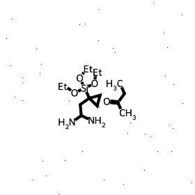 CCC(C)=O.CCO[Si](OCC)(OCC)C1(CC(N)N)CC1